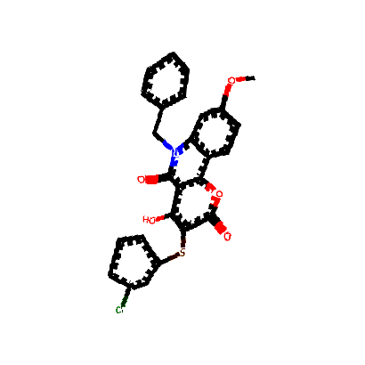 COc1ccc2c3oc(=O)c(Sc4cccc(Cl)c4)c(O)c3c(=O)n(Cc3ccccc3)c2c1